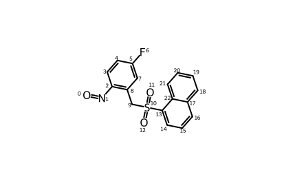 O=Nc1ccc(F)cc1CS(=O)(=O)c1cccc2ccccc12